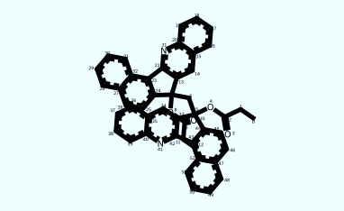 CCC(=O)OC1(CC2(OC(=O)CC)c3cc4ccccc4nc3-c3c2ccc2ccccc32)c2cc3ccccc3nc2-c2c1ccc1ccccc21